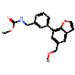 CCOCc1cc(-c2cccc(CNC(=O)OC(C)(C)C)c2)c2occc2c1